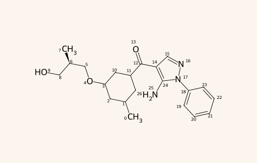 CC1CC(OC[C@H](C)CO)CC(C(=O)c2cnn(-c3ccccc3)c2N)C1